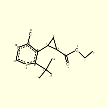 CCOC(=O)C1CC1c1c(Cl)ncnc1C(C)(C)C